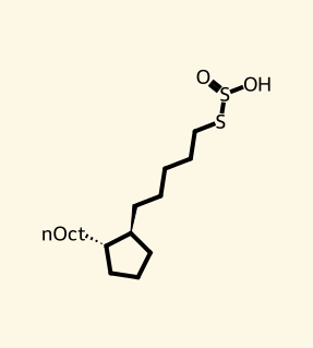 CCCCCCCC[C@H]1CCC[C@@H]1CCCCCSS(=O)O